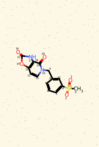 CS(=O)(=O)c1cccc(Cn2ccc3oc(=O)[nH]c3c2=O)c1